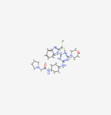 O=C(CN1CCCC1)NC1CCC(Nc2nc(N3CCOCC3)nc(-n3c(C(F)F)nc4ccccc43)n2)CC1